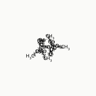 CCCCOC(=O)CN(COC(=O)CCCC)c1cc(CO)c([N+](=O)[O-])cc1OCCOc1cc(N2CCCC2)ccc1N(CC(=O)OCCCC)CC(=O)OCCCC